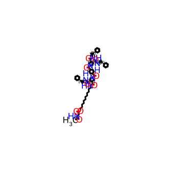 CC(=O)NCC(=O)OCCCCCCCCCCCCNC(=O)[C@@H]1CN(C(=O)c2ccc(C(=O)N3C[C@@H](C(=O)N[C@H]4C[C@@H]4c4ccccc4)[C@H](C(=O)N[C@H]4C[C@@H]4c4ccccc4)C3)cc2)C[C@H]1C(=O)N[C@H]1C[C@@H]1c1ccccc1